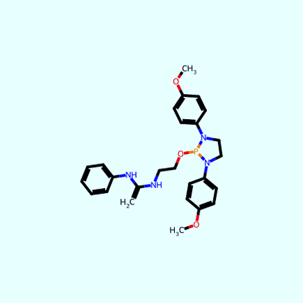 C=C(NCCOP1N(c2ccc(OC)cc2)CCN1c1ccc(OC)cc1)Nc1ccccc1